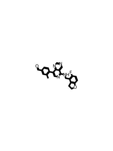 Cc1cc(C=O)ccc1-c1cnc(NCc2c(F)ccc3c2CCO3)c2cncnc12